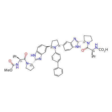 COC(=O)N[C@H](C(=O)N1CCC[C@H]1c1nc2cc([C@H]3CC[C@H](c4ccc5[nH]c([C@@H]6CCCN6C(=O)[C@@H](NC(=O)O)C(C)C)nc5c4)N3c3ccc(-c4ccccc4)cc3)ccc2[nH]1)C(C)C